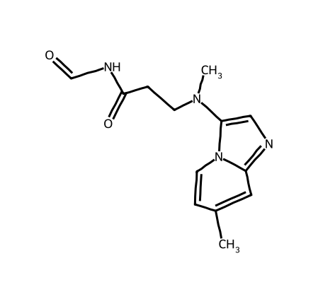 Cc1ccn2c(N(C)CCC(=O)NC=O)cnc2c1